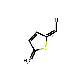 [2H]/C=c1\ccc(=C)s1